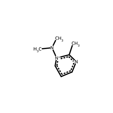 Cc1nccc[n+]1N(C)C